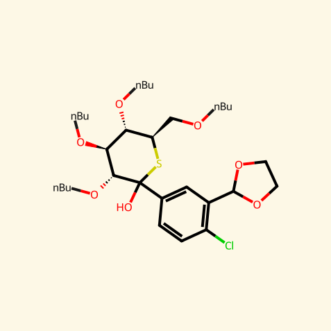 CCCCOC[C@H]1SC(O)(c2ccc(Cl)c(C3OCCO3)c2)[C@H](OCCCC)[C@@H](OCCCC)[C@@H]1OCCCC